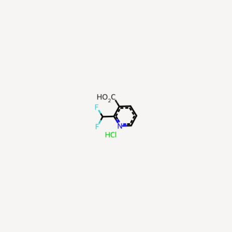 Cl.O=C(O)c1cccnc1C(F)F